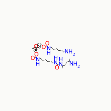 CC(N)CCC(C)NC(=O)NCCCCCCNC(=O)OC[Si](C)(C)O[Si](C)(C)COC(=O)NCCCCCCN